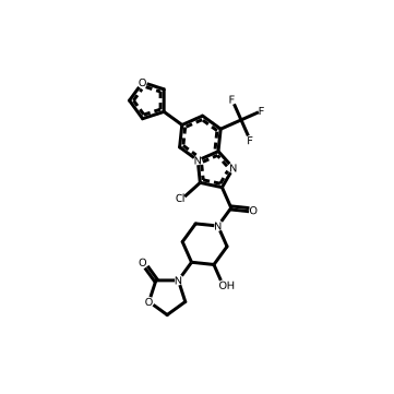 O=C(c1nc2c(C(F)(F)F)cc(-c3ccoc3)cn2c1Cl)N1CCC(N2CCOC2=O)C(O)C1